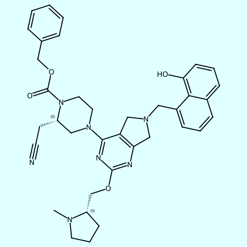 CN1CCC[C@H]1COc1nc2c(c(N3CCN(C(=O)OCc4ccccc4)[C@@H](CC#N)C3)n1)CN(Cc1cccc3cccc(O)c13)C2